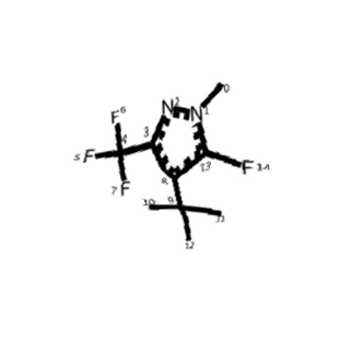 Cn1nc(C(F)(F)F)c(C(C)(C)C)c1F